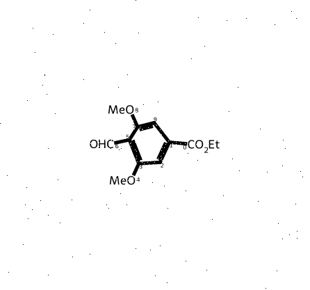 CCOC(=O)c1cc(OC)c(C=O)c(OC)c1